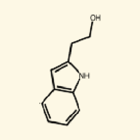 OCCc1cc2[c]cccc2[nH]1